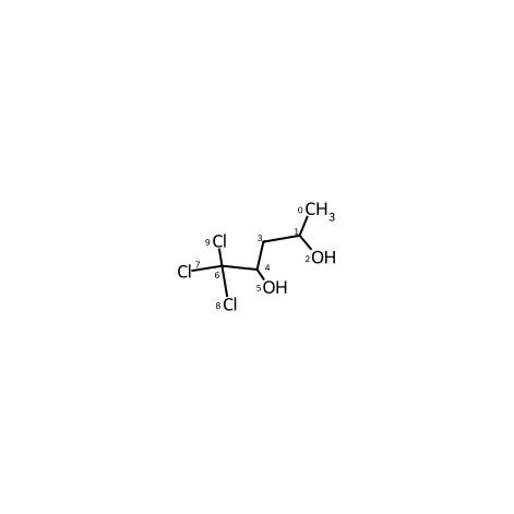 CC(O)CC(O)C(Cl)(Cl)Cl